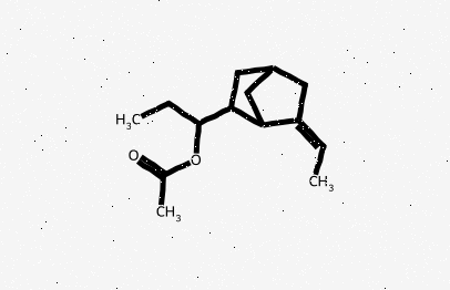 CC=C1CC2CC1C(C(CC)OC(C)=O)C2